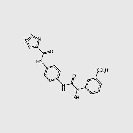 O=C(O)c1cccc(N(S)C(=O)Nc2ccc(NC(=O)c3csnn3)cc2)c1